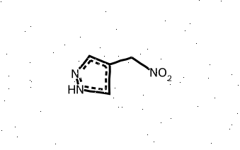 O=[N+]([O-])Cc1cn[nH]c1